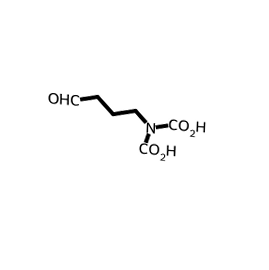 O=CCCCN(C(=O)O)C(=O)O